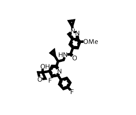 COc1cc(C(=O)NCC(c2cc(C3(O)COC3)c(F)c(-c3ccc(F)cc3)n2)C2CC2)cc2cn(C3CC3)nc12